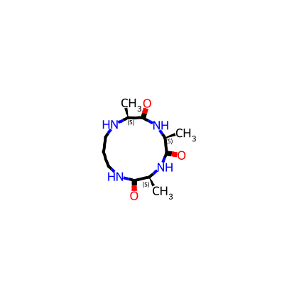 C[C@@H]1NCCCNC(=O)[C@H](C)NC(=O)[C@H](C)NC1=O